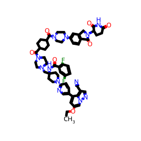 CCOc1cc(-c2ccc(N3CCC(CN4CCN(C(=O)C5CCC(C(=O)N6CCN(c7ccc8c(c7)CN(C7CCC(=O)NC7=O)C8=O)CC6)CC5)CC4)(NC(=O)c4cc(F)ccc4F)CC3)nc2)c2c(C#N)cnn2c1